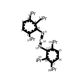 CC(C)c1ccc(C(C)C)c(C(C)C)c1N=C=Nc1c(C(C)C)ccc(C(C)C)c1C(C)C